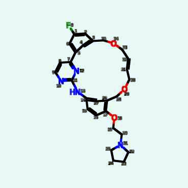 Fc1cc2cc(c1)-c1ccnc(n1)Nc1ccc(OCCN3CCCC3)c(c1)COC/C=C/COC2